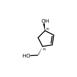 OC[C@H]1C=C[C@H](O)C1